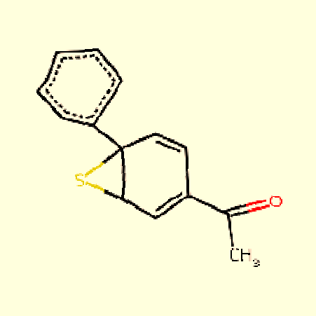 CC(=O)C1=CC2SC2(c2ccccc2)C=C1